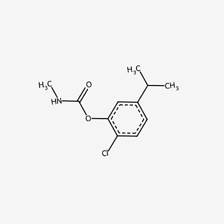 CNC(=O)Oc1cc(C(C)C)ccc1Cl